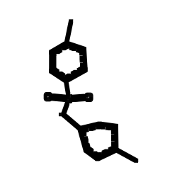 Cc1ccc([CH]S(=O)(=O)c2ccc(C)cc2)cc1